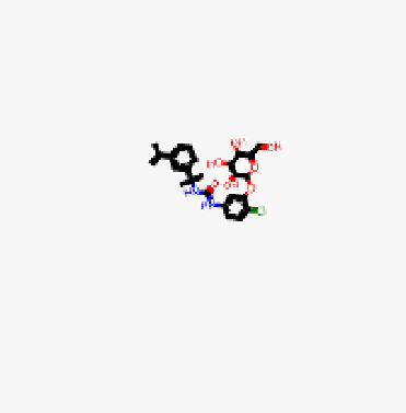 C=C(C)c1cccc(C(C)(C)NC(=O)Nc2ccc(Cl)c(OC3OC(CO)C(O)C(O)C3O)c2)c1